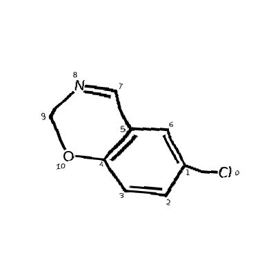 Clc1ccc2c(c1)C=NCO2